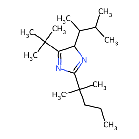 CCCC(C)(C)C1=NC(C(C)C(C)C)C(C(C)(C)C)=N1